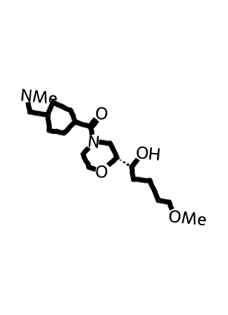 CNCC1CCC(C(=O)N2CCO[C@@H](C(O)CCCCOC)C2)CC1